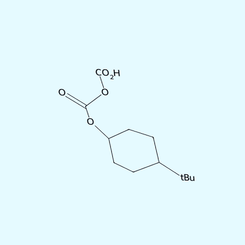 CC(C)(C)C1CCC(OC(=O)OC(=O)O)CC1